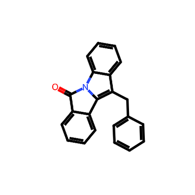 O=C1c2ccccc2-c2c(Cc3ccccc3)c3ccccc3n21